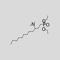 CCCCCCCCCC(CCP(=O)(OCC)OCC)N(C)C